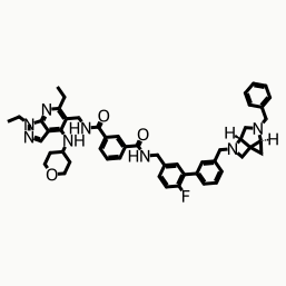 CCc1nc2c(cnn2CC)c(NC2CCOCC2)c1CNC(=O)c1cccc(C(=O)NCc2ccc(F)c(-c3cccc(CN4CC56C[C@@H]5N(Cc5ccccc5)C[C@@H]46)c3)c2)c1